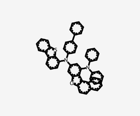 c1ccc(-c2ccc(N(c3cc(N(c4ccccc4)c4ccccc4)c4c(c3)oc3ccc5ccccc5c34)c3cccc4c3sc3ccccc34)cc2)cc1